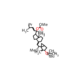 C=C1C(O[Si](C)(C)C(C)(C)C)CC2CC12C(C=C1CCCC2(C)C1CCC2[C@](C)(C=CC(C)C(C)C)OC(=O)OC)OC